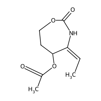 C/C=C1/NC(=O)OCCC1OC(C)=O